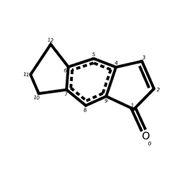 O=C1C=Cc2cc3c(cc21)CCC3